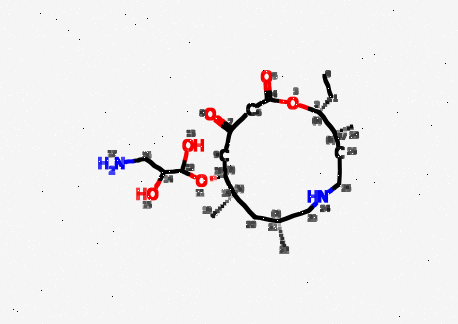 CC[C@H]1OC(=O)CC(=O)C[C@@H](OC(O)C(O)CN)[C@@H](C)C[C@@H](C)CNCC[C@H]1C